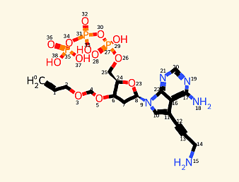 C=CCOCOC1C[C@H](n2cc(C#CCN)c3c(N)ncnc32)O[C@@H]1COP(=O)(O)OP(=O)(O)OP(=O)(O)O